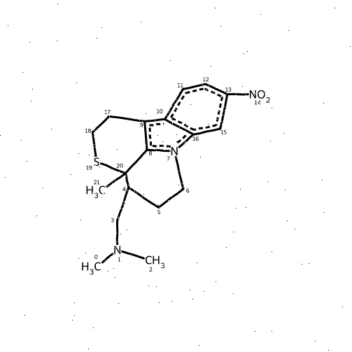 CN(C)CC1CCn2c3c(c4ccc([N+](=O)[O-])cc42)CCSC31C